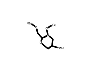 CNC1COC(COC(C)(C)C)N(OC(C)(C)C)C1